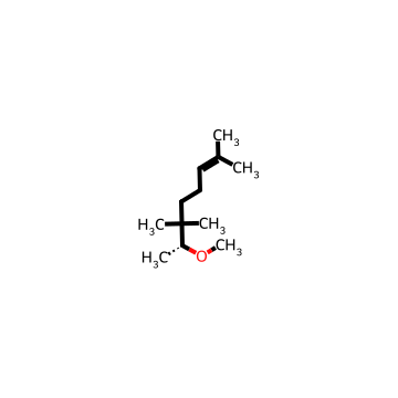 CO[C@H](C)C(C)(C)CCC=C(C)C